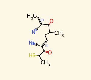 C/C=C(\C#N)C(=O)C(C)C/C=C(\C#N)C(=O)C(C)S